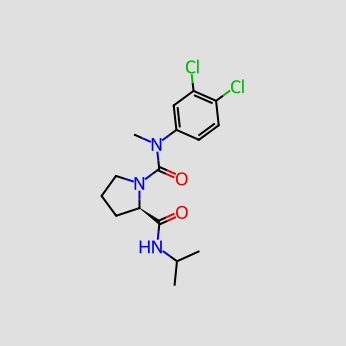 CC(C)NC(=O)[C@H]1CCCN1C(=O)N(C)c1ccc(Cl)c(Cl)c1